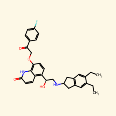 CCc1cc2c(cc1CC)CC(NC[C@@H](O)c1ccc(OCC(=O)c3ccc(F)cc3)c3[nH]c(=O)ccc13)C2